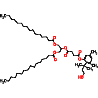 CCCCCCCCCCCCCCCC(=O)OCC(COC(=O)CCCCCCCCCCCCCCC)OC(=O)CCC(=O)Oc1cc(C)cc(C)c1C(C)(C)CCO